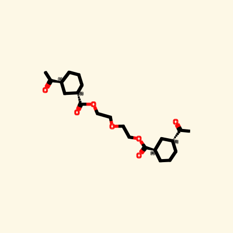 CC(=O)[C@@H]1CCC[C@@H](C(=O)OCCOCCOC(=O)[C@H]2CCC[C@H](C(C)=O)C2)C1